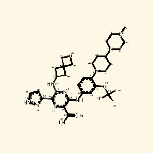 CN1CCN(C2CCN(c3ccc(Nc4nc(NC5CC6(COC6)C5)c(-c5cc[nH]n5)nc4C(N)=O)cc3OC(F)(F)F)CC2)CC1